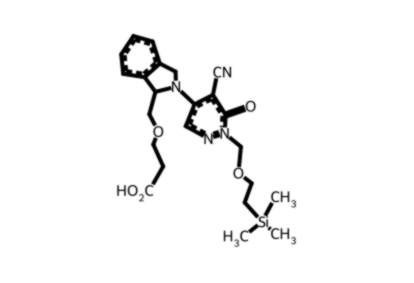 C[Si](C)(C)CCOCn1ncc(N2Cc3ccccc3C2COCCC(=O)O)c(C#N)c1=O